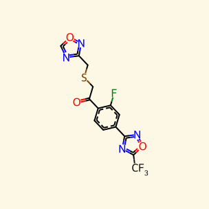 O=C(CSCc1ncon1)c1ccc(-c2noc(C(F)(F)F)n2)cc1F